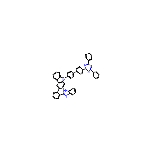 c1ccc(-c2nc(-c3ccccc3)nc(-c3ccc(-c4ccc(-n5c6ccccc6c6cc7c8ccccc8c8nc9ccccc9n8c7cc65)cc4)cc3)n2)cc1